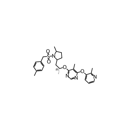 Cc1ccc(CS(=O)(=O)N2C(C)CCC2C[C@@H](C)Oc2ncnc(Oc3cccnc3C)c2C)cc1